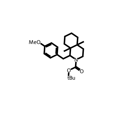 COc1ccc(CC2N(C(=O)OC(C)(C)C)CCC3(C)CCCCC23C)cc1